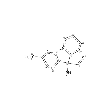 O=C(O)c1ccc(C(S)(C=S)c2ccccn2)cc1